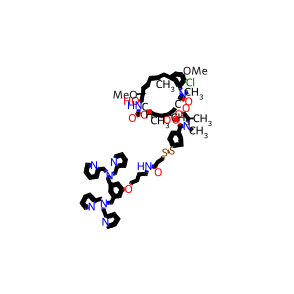 COc1cc2cc(c1Cl)N(C)C(=O)C[C@H](OC(=O)[C@@H](C)N(C)C(=O)c1ccc(SSCCC(=O)NCCCCOc3cc(CN(Cc4ccccn4)Cc4ccccn4)cc(CN(Cc4ccccn4)Cc4ccccn4)c3)cc1)[C@@]1(C)OC1[C@@H](C)[C@H]1C[C@](O)(NC(=O)O1)[C@@H](OC)/C=C/C=C(\C)C2